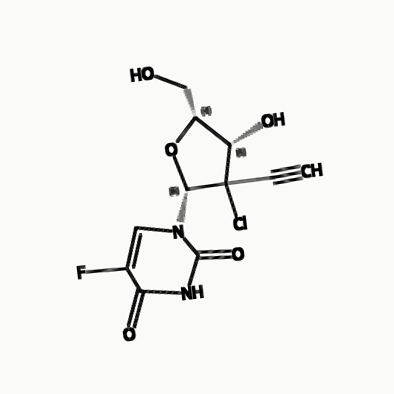 C#CC1(Cl)[C@@H](O)[C@@H](CO)O[C@H]1n1cc(F)c(=O)[nH]c1=O